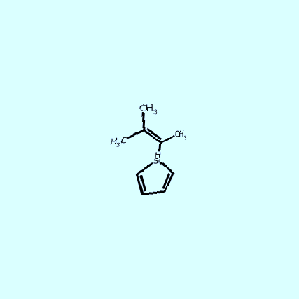 CC(C)=C(C)[SiH]1C=CC=C1